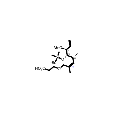 C=C[C@H](OC)[C@@H](O[Si](C)(C)C(C)(C)C)[C@H](C)/C=C(/C)COCCC(=O)O